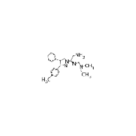 CCN(C)C/N=C(\CN)N1CC(c2ccccc2)C(c2ccc(C)cc2)=N1